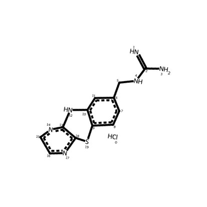 Cl.N=C(N)NCc1ccc2c(c1)Nc1nccnc1S2